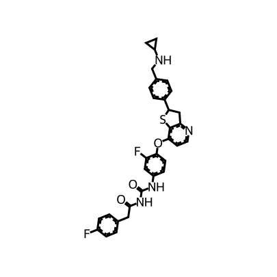 O=C(Cc1ccc(F)cc1)NC(=O)Nc1ccc(Oc2ccnc3c2SC(c2ccc(CNC4CC4)cc2)C3)c(F)c1